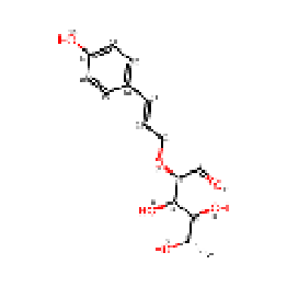 C[C@H](O)[C@H](O)[C@@H](O)[C@H](C=O)OC/C=C/c1ccc(O)cc1